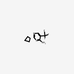 C1CCC1.Nc1ncncc1C(F)(F)F